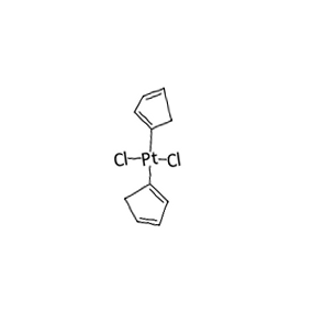 [Cl][Pt]([Cl])([C]1=CC=CC1)[C]1=CC=CC1